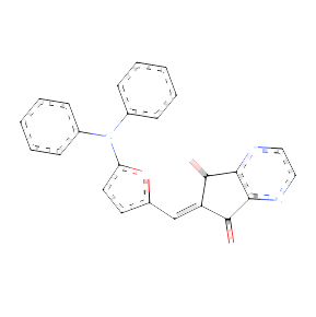 O=C1C(=Cc2ccc(N(c3ccccc3)c3ccccc3)o2)C(=O)c2nccnc21